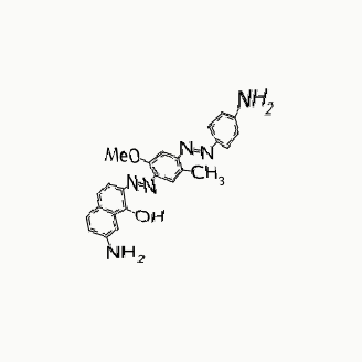 COc1cc(N=Nc2ccc(N)cc2)c(C)cc1N=Nc1ccc2ccc(N)cc2c1O